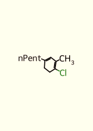 CCCCCC1=CC(C)=C(Cl)CC1